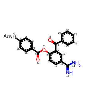 CC(=O)Nc1ccc(C(=O)Oc2ccc(C(=N)N)cc2C(=O)c2ccccc2)cc1